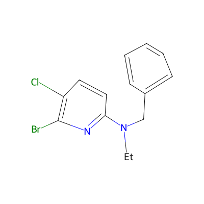 CCN(Cc1ccccc1)c1ccc(Cl)c(Br)n1